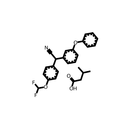 CC(C)CC(=O)O.N#CC(c1ccc(OC(F)F)cc1)c1cccc(Oc2ccccc2)c1